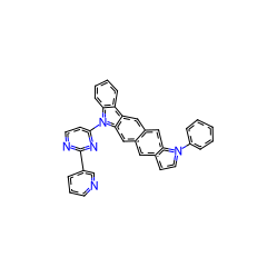 c1ccc(-n2ccc3cc4cc5c(cc4cc32)c2ccccc2n5-c2ccnc(-c3cccnc3)n2)cc1